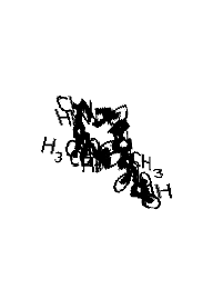 CNC(=O)COc1cc2cc(Nc3nc(N4CCC(O[C@H]5C[C@H](N6CCC(c7ccc8c(c7C)CN(C7CCC(=O)NC7=O)C8=O)CC6)C5)CC4)ncc3Cl)ccc2n(C(C)C)c1=O